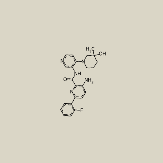 CC1(O)CCCN(c2ccncc2NC(=O)c2nc(-c3ccccc3F)ccc2N)C1